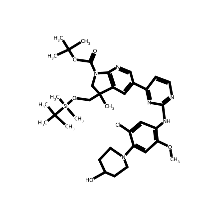 COc1cc(N2CCC(O)CC2)c(Cl)cc1Nc1nccc(-c2cnc3c(c2)C(C)(CO[Si](C)(C)C(C)(C)C)CN3C(=O)OC(C)(C)C)n1